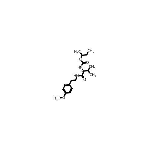 CCC(C)OC(=O)N[C@H](C(=O)NCCc1ccc(OC)cc1)C(C)C